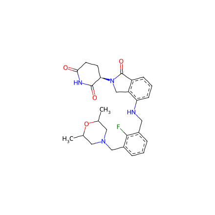 CC1CN(Cc2cccc(CNc3cccc4c3CN([C@@H]3CCC(=O)NC3=O)C4=O)c2F)CC(C)O1